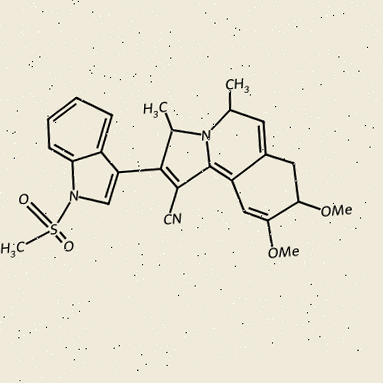 COC1=CC2=C3C(C#N)=C(c4cn(S(C)(=O)=O)c5ccccc45)C(C)N3C(C)C=C2CC1OC